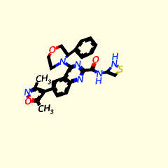 Cc1noc(C)c1-c1ccc2nc(C(=O)NC3CSN3)nc(N3CCOCC3c3ccccc3)c2c1